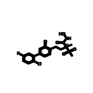 C[C@@](CCn1ccc(-c2cc(F)ccc2Cl)cc1=O)(C(=O)NO)S(C)(=O)=O